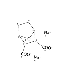 O=C([O-])C1C2CCC(O2)C1C(=O)[O-].[Na+].[Na+]